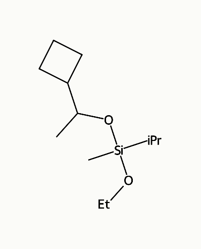 CCO[Si](C)(OC(C)C1CCC1)C(C)C